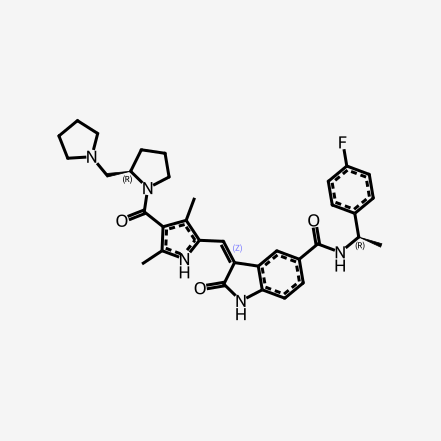 Cc1[nH]c(/C=C2\C(=O)Nc3ccc(C(=O)N[C@H](C)c4ccc(F)cc4)cc32)c(C)c1C(=O)N1CCC[C@@H]1CN1CCCC1